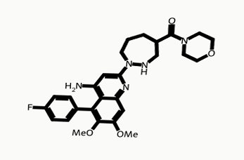 COc1cc2nc(N3CCCC(C(=O)N4CCOCC4)CN3)cc(N)c2c(-c2ccc(F)cc2)c1OC